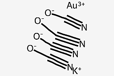 N#C[O-].N#C[O-].N#C[O-].N#C[O-].[Au+3].[K+]